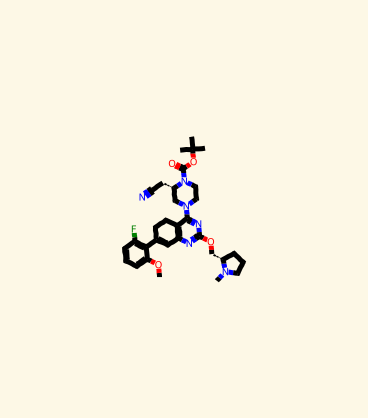 COc1cccc(F)c1C1=Cc2nc(OC[C@@H]3CCCN3C)nc(N3CCN(C(=O)OC(C)(C)C)[C@@H](CC#N)C3)c2CC1